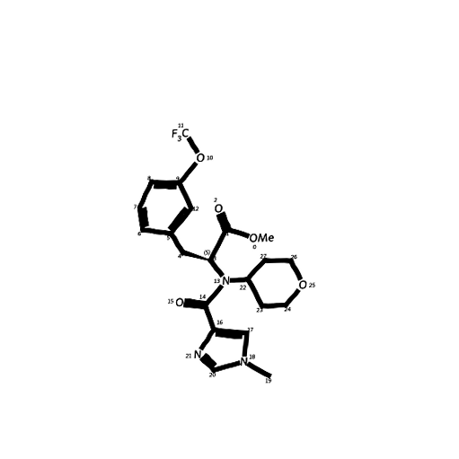 COC(=O)[C@H](Cc1cccc(OC(F)(F)F)c1)N(C(=O)c1cn(C)cn1)C1CCOCC1